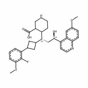 COc1ccc2nccc([C@H](O)C[C@H](C3CC(c4cccc(OC)c4F)C3)C3CCNCC3C(=O)O)c2c1